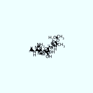 CC(C)OC(=O)[C@H](C)N[PH](=O)OC[C@H]1O[C@@H](n2cnc3c(NC4CC4)nc(N)nc32)[C@@](F)(CO)[C@@H]1O